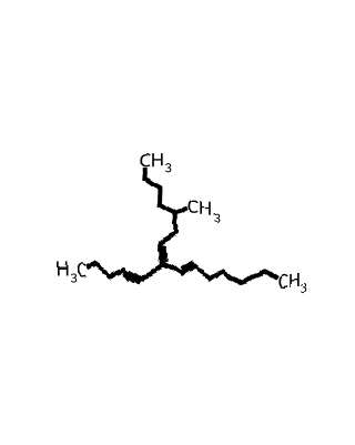 CCCC=CC(C=CCCCCC)=CCC(C)CCCC